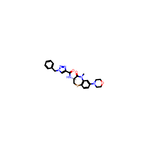 CN1C(=O)[C@@H](NC(=O)c2cn(Cc3ccccc3)nn2)CSc2ccc(N3CCOCC3)cc21